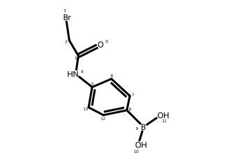 O=C(CBr)Nc1ccc(B(O)O)cc1